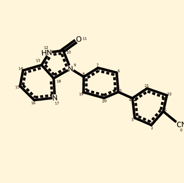 N#Cc1ccc(-c2ccc(-n3c(=O)[nH]c4cccnc43)cc2)cc1